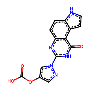 O=C(O)Oc1cnn(-c2nc3ccc4[nH]ccc4c3c(=O)[nH]2)c1